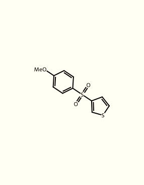 COc1ccc(S(=O)(=O)c2ccsc2)cc1